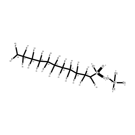 CC[N+](CC)(CC)CC.O=S(=O)([O-])C(F)C(F)(F)C(F)(F)C(F)(F)C(F)(F)C(F)(F)C(F)(F)C(F)(F)C(F)(F)C(F)(F)C(F)F